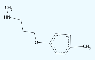 CNCCCOc1ccc(C)cc1